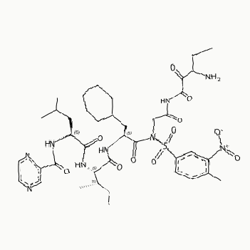 CCC(N)C(=O)C(=O)NC(=O)CN(C(=O)[C@H](CC1CCCCC1)NC(=O)[C@@H](NC(=O)[C@H](CC(C)C)NC(=O)c1cnccn1)[C@@H](C)CC)S(=O)(=O)c1ccc(C)c([N+](=O)[O-])c1